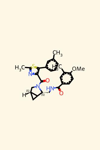 COc1ccc(C(=O)NC[C@@H]2C3C[C@@H]3CN2C(=O)c2nc(C)sc2-c2cccc(C)c2)cc1C